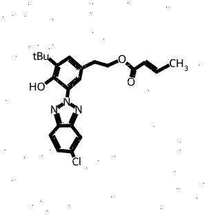 CC=CC(=O)OCCc1cc(-n2nc3ccc(Cl)cc3n2)c(O)c(C(C)(C)C)c1